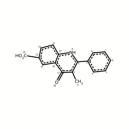 Cc1c(-c2ccccc2)[nH]c2ccc(C(=O)O)cc2c1=O